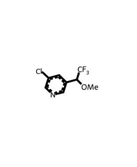 COC(c1cncc(Cl)c1)C(F)(F)F